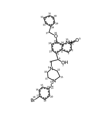 O=c1ccc2c(C(O)CN3CCN(Cc4ccc(Br)cc4)CC3)ccc(OCc3ccccc3)c2[nH]1